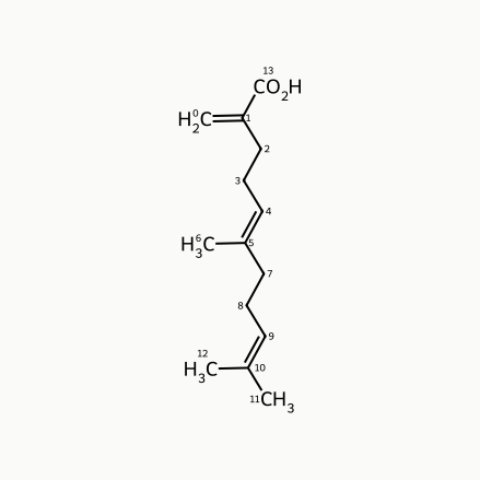 C=C(CC/C=C(\C)CCC=C(C)C)C(=O)O